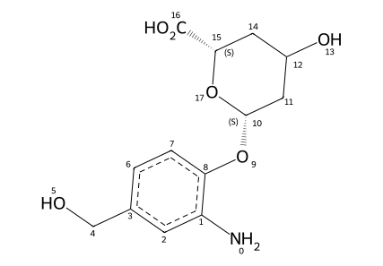 Nc1cc(CO)ccc1O[C@H]1CC(O)C[C@@H](C(=O)O)O1